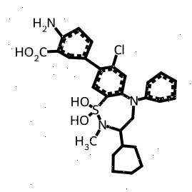 CN1C(C2CCCCC2)CN(c2ccccc2)c2cc(Cl)c(-c3ccc(N)c(C(=O)O)c3)cc2S1(O)O